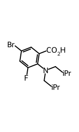 CC(C)CN(CC(C)C)c1c(F)cc(Br)cc1C(=O)O